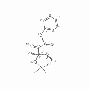 CC1(C)O[C@H]2CO[C@H](Oc3ccccc3)C(=O)[C@H]2O1